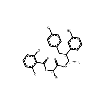 CC(C)[C@@H](OC(=O)c1c(Cl)cccc1Cl)C(=O)N[C@@H](C)[C@@H](Cc1ccc(Cl)cc1)c1cccc(C#N)c1